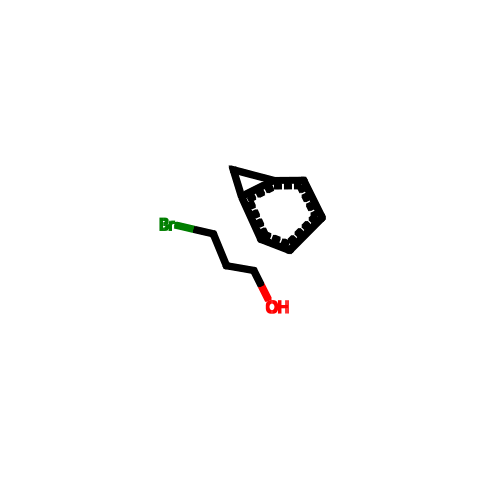 OCCCBr.c1ccc2c(c1)C2